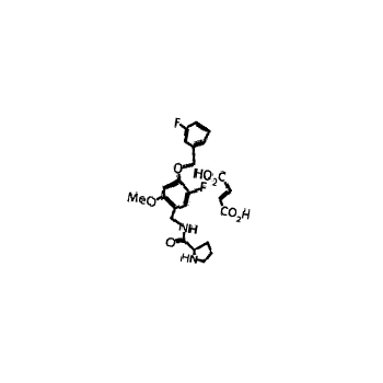 COc1cc(OCc2cccc(F)c2)c(F)cc1CNC(=O)C1CCCN1.O=C(O)/C=C/C(=O)O